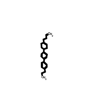 C=CCCC1=CCC(c2ccc(-c3ccc(CCC)cc3)cc2)CC1